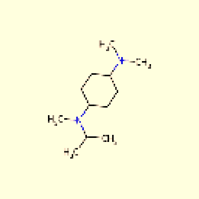 CC(C)N(C)C1CCC(N(C)C)CC1